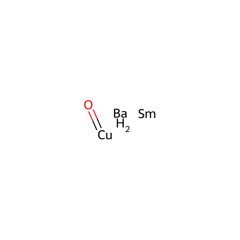 [BaH2].[O]=[Cu].[Sm]